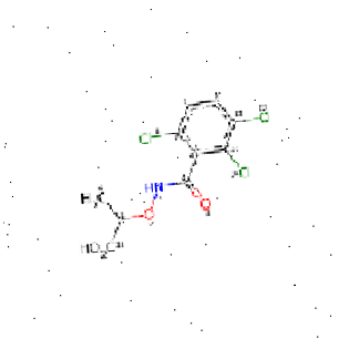 CC(ONC(=O)c1c(Cl)ccc(Cl)c1Cl)C(=O)O